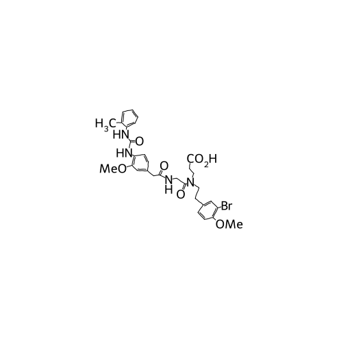 COc1ccc(CCN(CCC(=O)O)C(=O)CNC(=O)Cc2ccc(NC(=O)Nc3ccccc3C)c(OC)c2)cc1Br